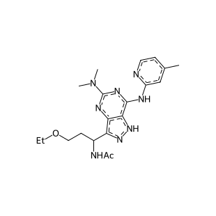 CCOCCC(NC(C)=O)c1n[nH]c2c(Nc3cc(C)ccn3)nc(N(C)C)nc12